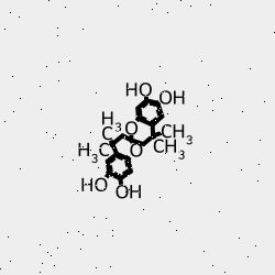 CC1(C)CC2(CC(C)(C)c3cc(O)c(O)cc3O2)Oc2cc(O)c(O)cc21